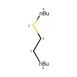 [CH2]CCCCCSCCCC